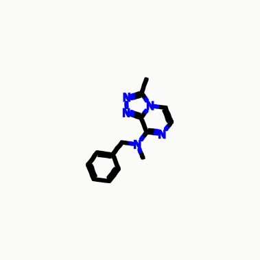 Cc1nnc2c(N(C)Cc3ccccc3)nccn12